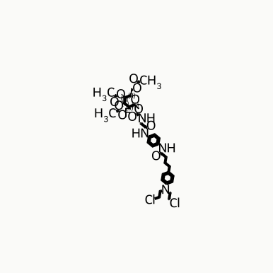 CC(=O)OC[C@H]1O[C@@H](OC(=O)NCC(=O)Nc2ccc(NC(=O)CCCc3ccc(N(CCCl)CCCl)cc3)cc2)[C@@H](F)[C@@H](OC(C)=O)[C@@H]1OC(C)=O